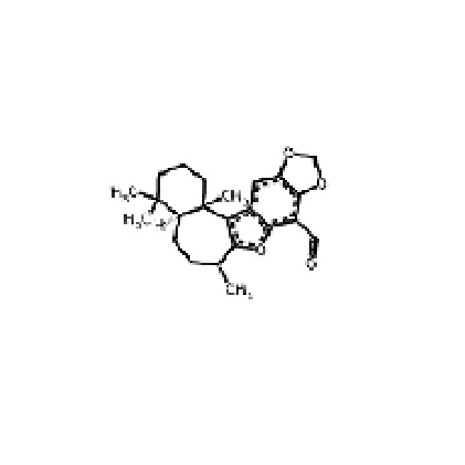 C[C@H]1CC[C@H]2C(C)(C)CCC[C@]2(C)c2c1oc1c(C=O)c3c(cc21)OCO3